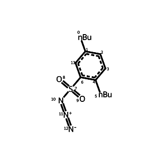 CCCCc1ccc(CCCC)c(S(=O)(=O)N=[N+]=[N-])c1